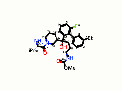 CCc1cccc(-c2c(F)cccc2[C@](O)(CCCNC(=O)OC)[C@@H]2CCCN(C(=O)[C@@H](N)C(C)C)C2)c1